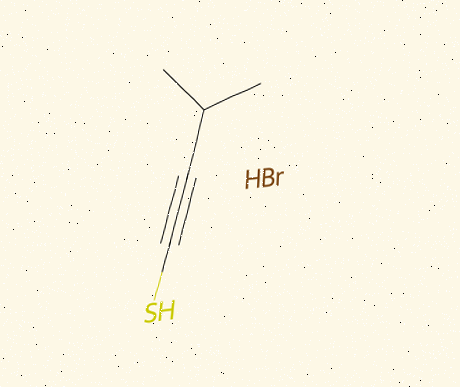 Br.CC(C)C#CS